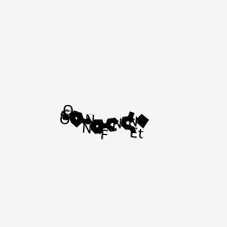 CCC1CC(N2CCC(c3cc4c(cc3F)nc(-c3ccc(S(C)(=O)=O)cc3)n4C)CC2)CC(C)N1C1CCC1